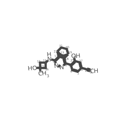 C#Cc1ccc(-c2nnc(NC3CC(C)(O)C3)c3c2C2CCC3CC2)c(O)c1